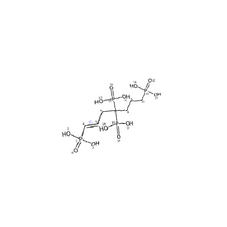 O=P(O)(O)/C=C/CC(CCCP(=O)(O)O)(P(=O)(O)O)P(=O)(O)O